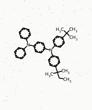 CCC(C)(C)c1ccc(N(c2ccc(N(c3ccccc3)c3ccccc3)cc2)c2ccc(C(C)(C)C)cc2)cc1